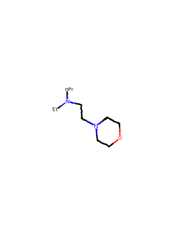 CCCN(CC)CCN1CCOCC1